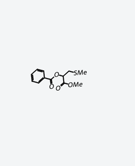 COC(=O)C(CSC)OC(=O)c1ccccc1